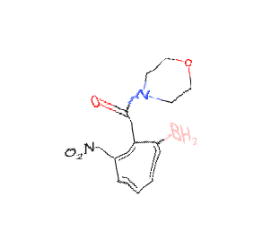 Bc1cccc([N+](=O)[O-])c1C(=O)N1CCOCC1